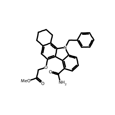 COC(=O)COc1cc2c(c3c1c1c(C(N)=O)cccc1n3Cc1ccccc1)CCCC2